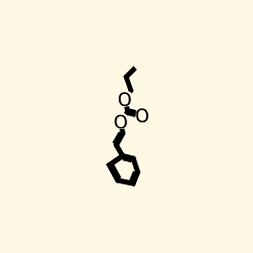 CCCOC(=O)OC=Cc1ccccc1